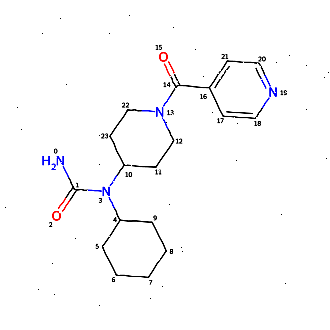 NC(=O)N(C1CCCCC1)C1CCN(C(=O)c2ccncc2)CC1